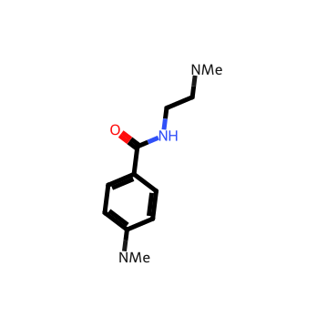 CNCCNC(=O)c1ccc(NC)cc1